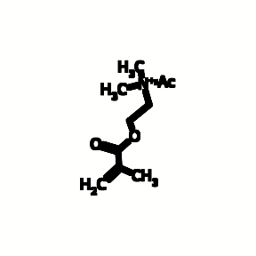 C=C(C)C(=O)OCC[N+](C)(C)C(C)=O